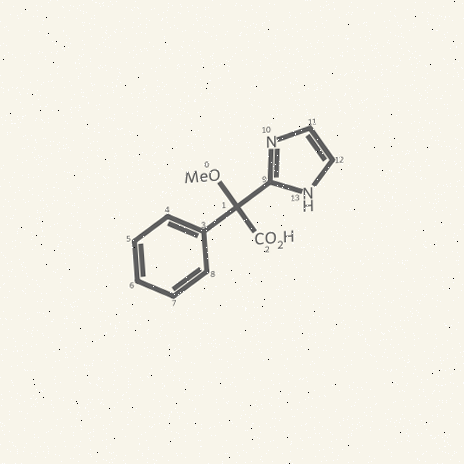 COC(C(=O)O)(c1ccccc1)c1ncc[nH]1